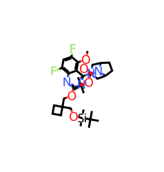 COc1c(F)cc(F)c2nc(OCC3(CO[Si](C)(C)C(C)(C)C)CCC3)nc(N3CC4CCC(C3)N4C(=O)OC(C)(C)C)c12